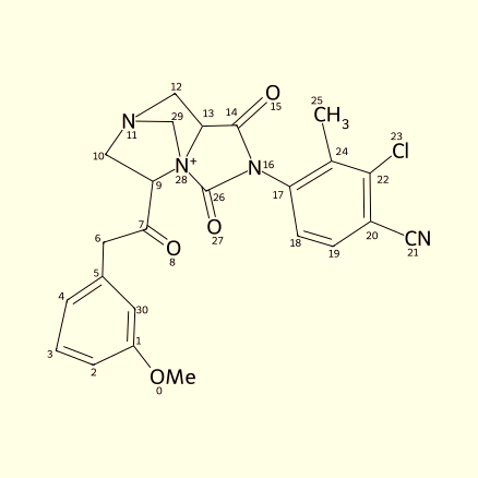 COc1cccc(CC(=O)C2CN3CC4C(=O)N(c5ccc(C#N)c(Cl)c5C)C(=O)[N+]24C3)c1